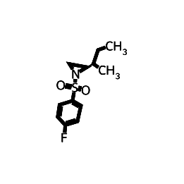 CCC(C)[C@H]1CN1S(=O)(=O)c1ccc(F)cc1